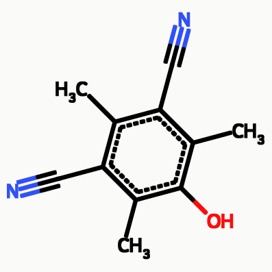 Cc1c(O)c(C)c(C#N)c(C)c1C#N